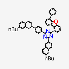 CCCCc1ccc2c(c1)CC(c1ccc(-c3nc(-c4ccc5cc(CCCC)ccc5c4)nc(-c4cccc5oc6c(-c7ccccc7)cccc6c45)n3)cc1)C=C2